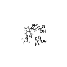 O=C(O)C(F)(F)F.O=C(O)c1cnn(C2CCc3cc(N4CCC4)ncc32)c1